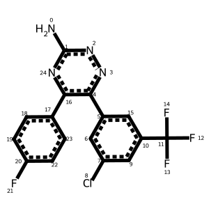 Nc1nnc(-c2cc(Cl)cc(C(F)(F)F)c2)c(-c2ccc(F)cc2)n1